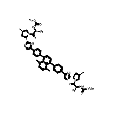 COC(=O)N[C@H](C(=O)N1C[C@H](C)C[C@H]1c1ncc(-c2ccc(-c3ccc(-c4ccc(-c5cnc([C@@H]6C[C@@H](C)CN6C(=O)[C@@H](NC(=O)OC)C(C)C)[nH]5)cc4)c4c(C)ccc(C)c34)cc2)[nH]1)C(C)C